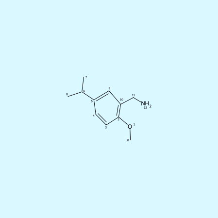 COc1ccc(C(C)C)cc1CN